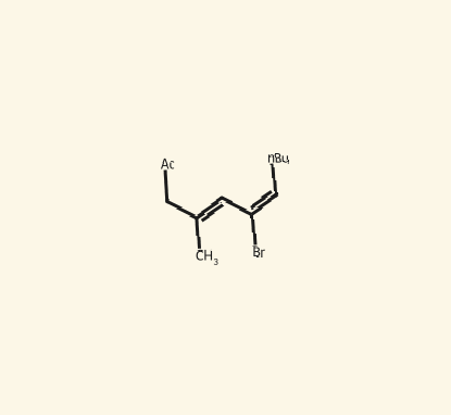 CCCC/C=C(Br)\C=C(/C)CC(C)=O